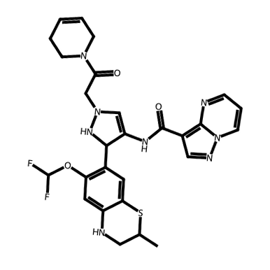 CC1CNc2cc(OC(F)F)c(C3NN(CC(=O)N4CC=CCC4)C=C3NC(=O)c3cnn4cccnc34)cc2S1